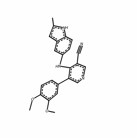 COc1ccc(-c2cncc(C#N)c2Nc2ccc3[nH]c(C)cc3c2)cc1OC